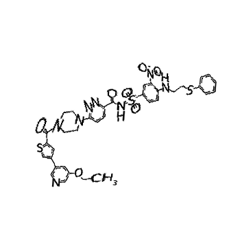 CCOc1cncc(-c2csc(C(=O)N3CCN(c4ccc(C(=O)NS(=O)(=O)c5ccc(NCCSc6ccccc6)c([N+](=O)[O-])c5)nn4)CC3)c2)c1